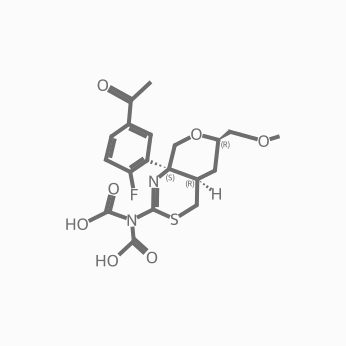 COC[C@H]1C[C@H]2CSC(N(C(=O)O)C(=O)O)=N[C@@]2(c2cc(C(C)=O)ccc2F)CO1